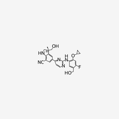 C[C@]1(CO)CNc2c(C#N)cc(-c3ccnc(Nc4cc(CO)c(F)cc4OC4CC4)n3)cc21